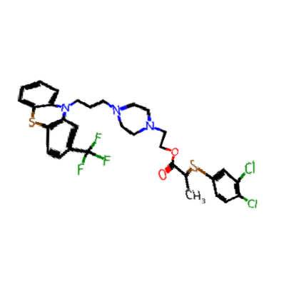 CC(Sc1ccc(Cl)c(Cl)c1)C(=O)OCCN1CCN(CCCN2c3ccccc3Sc3ccc(C(F)(F)F)cc32)CC1